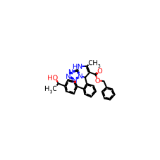 CC1=C(C(=O)OCc2ccccc2)C(c2ccccc2-c2ccc(C(C)O)cc2)n2nnnc2N1